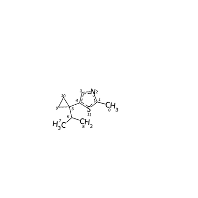 Cc1ncc(C2(C(C)C)CC2)s1